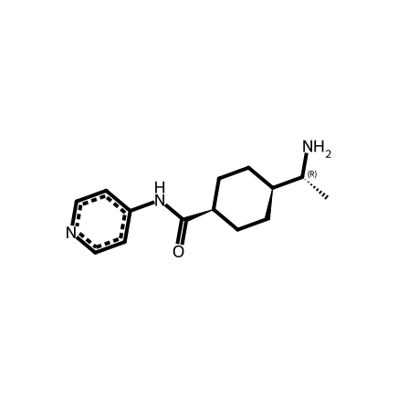 C[C@@H](N)[C@H]1CC[C@@H](C(=O)Nc2ccncc2)CC1